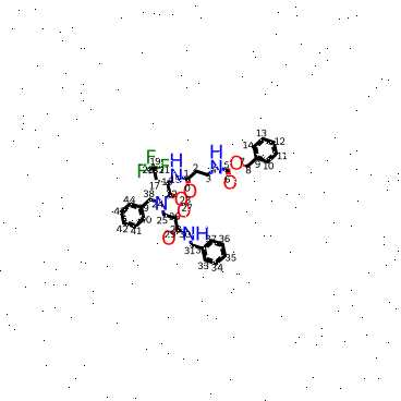 O=C(CCNC(=O)OCc1ccccc1)N[C@@H](CC(F)(F)F)C(=O)N(CC(=O)C(=O)NCc1ccccc1)Cc1ccccc1